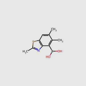 Cc1nc2c(B(O)O)c(C)c(C)cc2s1